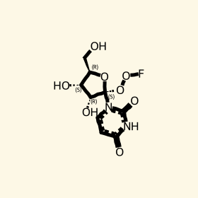 O=c1ccn([C@]2(OOF)O[C@H](CO)[C@@H](O)[C@H]2O)c(=O)[nH]1